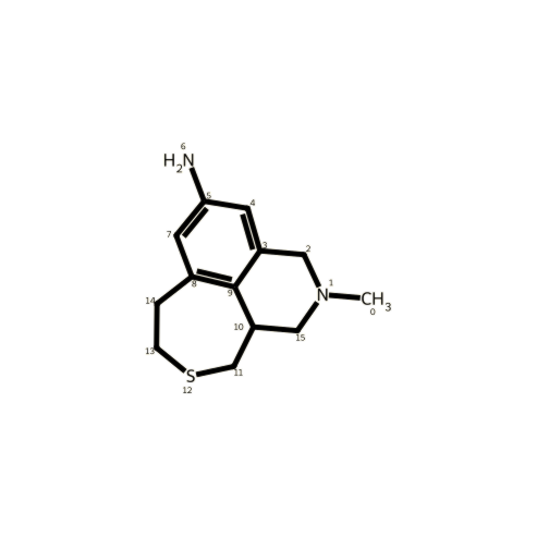 CN1Cc2cc(N)cc3c2C(CSCC3)C1